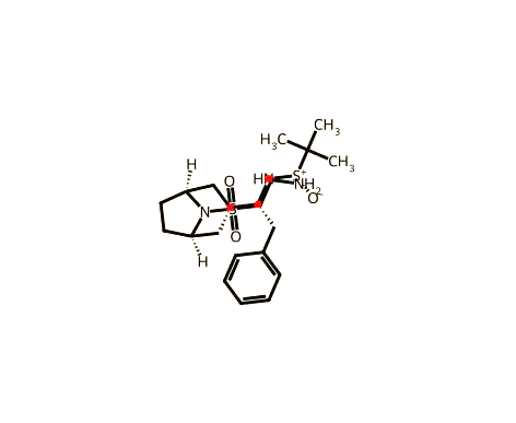 CC(C)(C)[S@+]([O-])N[C@H](Cc1ccccc1)[C@@H]1C[C@H]2CC[C@@H](C1)N2S(=O)(=O)CCN